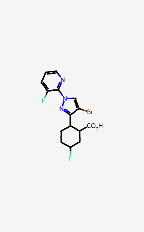 O=C(O)C1CC(F)CCC1c1nn(-c2ncccc2F)cc1Br